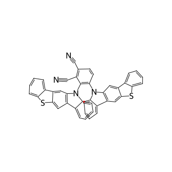 N#Cc1ccc(-n2c3ccccc3c3cc4sc5ccccc5c4cc32)c(-n2c3ccccc3c3cc4sc5ccccc5c4cc32)c1C#N